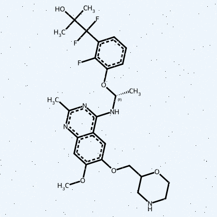 COc1cc2nc(C)nc(N[C@@H](C)Oc3cccc(C(F)(F)C(C)(C)O)c3F)c2cc1OCC1CNCCO1